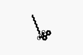 CCCCCCCCCCCCN1C(=O)c2cccc(-c3ccccc3)c2C1=O